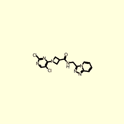 O=C(NCc1nnc2ccccn12)C1CN(c2nc(Cl)ncc2Cl)C1